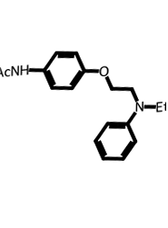 CCN(CCOc1ccc(NC(C)=O)cc1)c1ccccc1